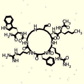 CCCC[C@H](NC(C)=O)C(=O)N[C@H]1CC(C=O)CNCC[C@@H](C(=O)N[C@@H](Cc2c[nH]c3ccccc23)C(N)=O)NC(=O)[C@H](CCCNC(=N)N)NC(=O)[C@@H](Cc2ccccc2)NC(=O)[C@H](CCCNC(N)=O)NC1=O